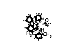 Cc1cccc(C)c1NC(=O)C[P+](c1ccccc1)(c1ccccc1)c1ccccc1.O=C[O-]